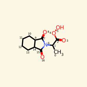 CC(C(=O)OO)N1C(=O)C2CCCCC2C1=O